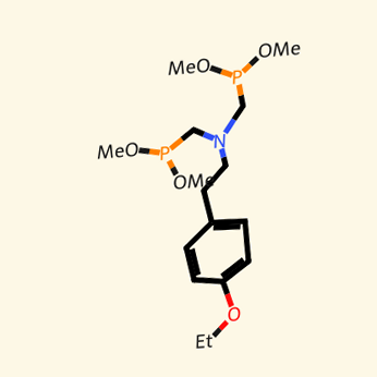 CCOc1ccc(CCN(CP(OC)OC)CP(OC)OC)cc1